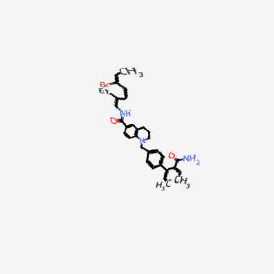 C/C=C(\C(=C/C)C(N)=O)c1ccc(CN2CCCc3cc(C(=O)NCC(/C=C\C(Br)=C/C)CC)ccc32)cc1